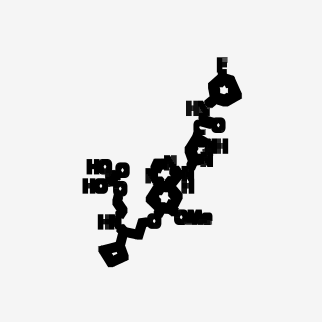 COc1cc2c(Nc3cc(CC(=O)Nc4cccc(F)c4)[nH]n3)ncnc2cc1OCCC(NCCOP(=O)(O)O)C1CCC1